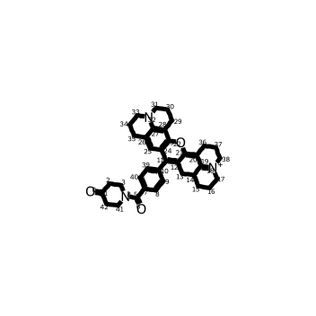 O=C1CCN(C(=O)c2ccc(C3=C4CC5CCC[N+]6=C5C(=C4Oc4c3cc3c5c4CCCN5CCC3)CCC6)cc2)CC1